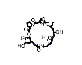 CC1=C\C(O)CC(F)Cc2nc(co2)C(=O)N2CCCC2C(=O)OC(C(C)C)C(CCO)/C=C/C(=O)NC\C=C\1